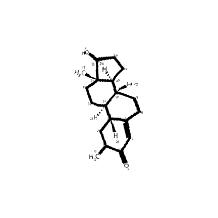 CC1C[C@H]2C(=CC1=O)CC[C@@H]1[C@@H]2CC[C@]2(C)C(O)CC[C@@H]12